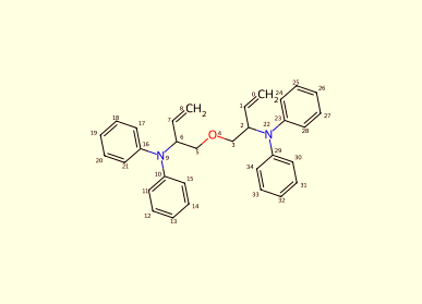 C=CC(COCC(C=C)N(c1ccccc1)c1ccccc1)N(c1ccccc1)c1ccccc1